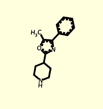 Cc1oc(C2CCNCC2)nc1-c1ccccc1